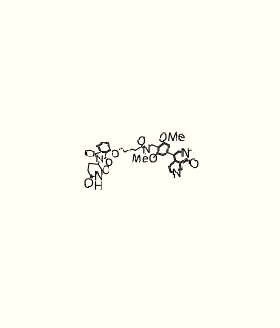 COc1cc(-c2cn(C)c(=O)c3cnccc23)cc(OC)c1CN(C)C(=O)CCCCOc1cccc2c1C(=O)N(C1CCC(=O)NC1=O)C2=O